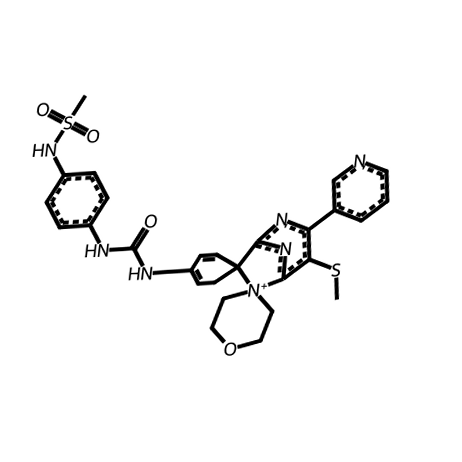 CSc1c(-c2cccnc2)nc2nc1[N+]1(CCOCC1)C21C=CC(NC(=O)Nc2ccc(NS(C)(=O)=O)cc2)=CC1